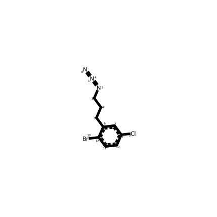 [N-]=[N+]=NCCCc1cc(Cl)ccc1Br